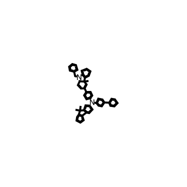 CC1(C)c2ccccc2-c2ccc(N(c3ccc(C4=CC5(C)c6ccccc6N(Cc6ccccc6)C5C=C4)cc3)c3ccc(-c4ccccc4)cc3)cc21